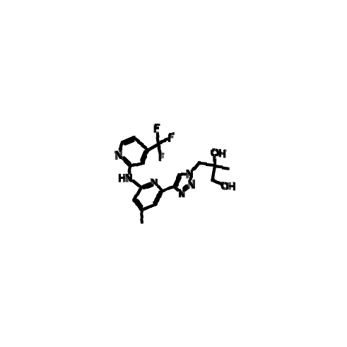 Cc1cc(Nc2cc(C(F)(F)F)ccn2)nc(-c2cn(CC(C)(O)CO)nn2)c1